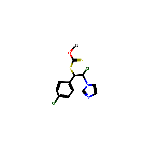 CCOC(=S)SC(c1ccc(Cl)cc1)C(Cl)n1ccnc1